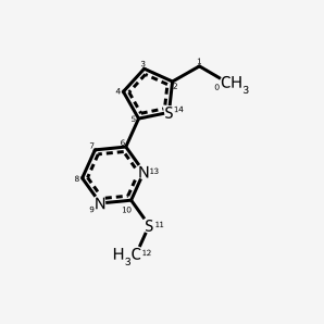 CCc1ccc(-c2ccnc(SC)n2)s1